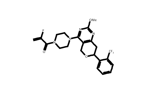 C=C(F)C(=O)N1CCN(c2nc(OC)nc3c2COC(c2ccccc2C(F)(F)F)C3)CC1